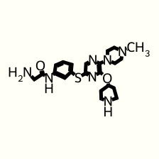 CN1CCN(c2ncc(Sc3cccc(NC(=O)CN)c3)nc2OC2CCNCC2)CC1